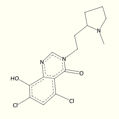 CN1CCCC1CCn1cnc2c(O)c(Cl)cc(Cl)c2c1=O